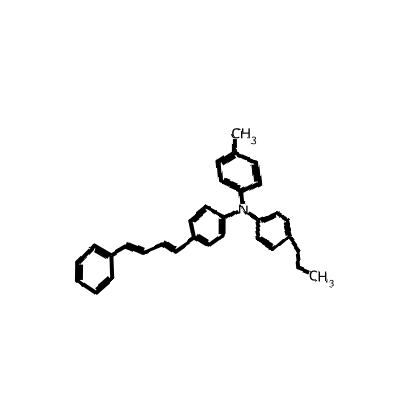 CCCc1ccc(N(c2ccc(C)cc2)c2ccc(/C=C/C=C/c3ccccc3)cc2)cc1